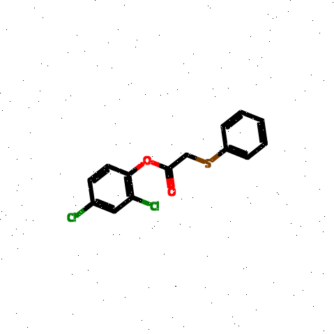 O=C(CSc1ccccc1)Oc1ccc(Cl)cc1Cl